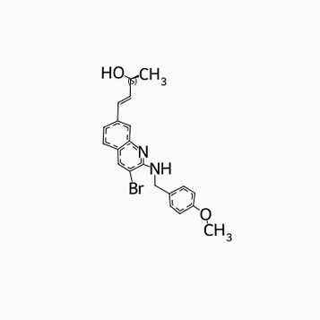 COc1ccc(CNc2nc3cc(C=C[C@H](C)O)ccc3cc2Br)cc1